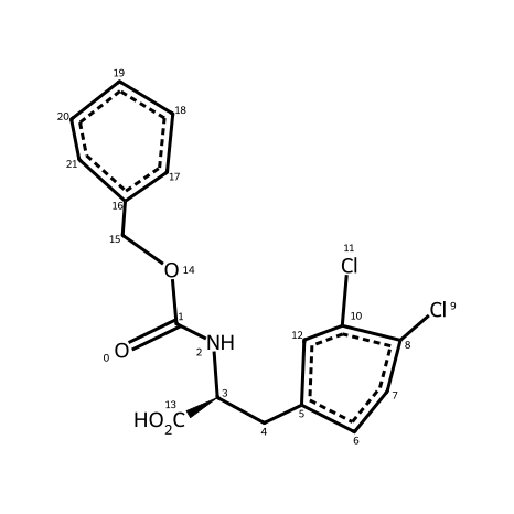 O=C(N[C@@H](Cc1ccc(Cl)c(Cl)c1)C(=O)O)OCc1ccccc1